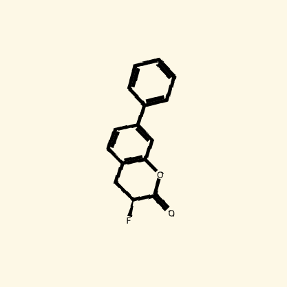 O=C1Oc2cc(-c3ccccc3)ccc2C[C@@H]1F